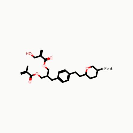 C=C(C)C(=O)OCC(COC(=O)C(=C)CO)Cc1ccc(CCC2CCC(CCCCC)CO2)cc1